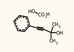 CC(C)(O)C#Cc1ccccc1.O=C(O)O